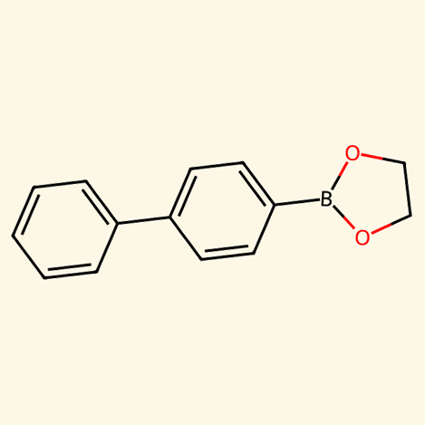 c1ccc(-c2ccc(B3OCCO3)cc2)cc1